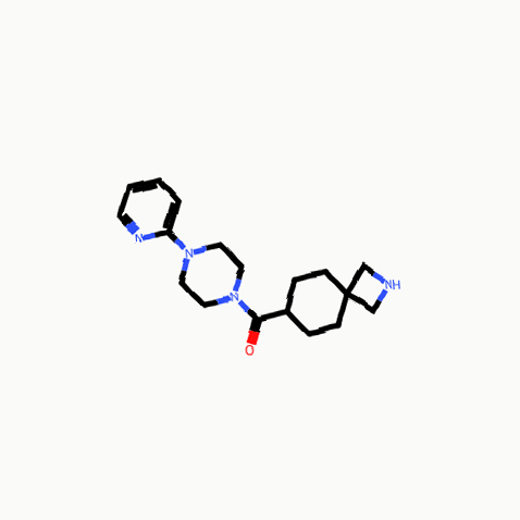 O=C(C1CCC2(CC1)CNC2)N1CCN(c2ccccn2)CC1